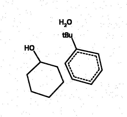 CC(C)(C)c1ccccc1.O.OC1CCCCC1